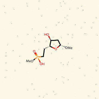 CO[C@H]1C[C@H](O)[C@@H](CCP(=O)(O)OC)O1